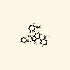 O=C1c2c(-c3ccccc3[N+](=O)[O-])ccc(-c3ccccc3[N+](=O)[O-])c2C(=O)N1Cc1ccccc1